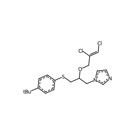 CC(C)(C)c1ccc(SCC(Cn2ccnc2)OCC(Cl)=CCl)cc1